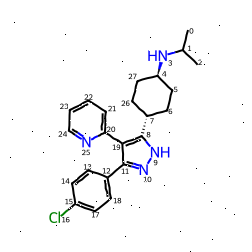 CC(C)N[C@H]1CC[C@H](c2[nH]nc(-c3ccc(Cl)cc3)c2-c2ccccn2)CC1